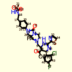 COC(=O)C1=C(CN2CCN3C(=O)N(c4ccc(CCNS(C)(=O)=O)cc4)C[C@@H]3C2)NC(c2nccs2)=N[C@H]1c1ccc(F)cc1Cl